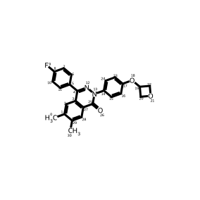 Cc1cc2c(-c3ccc(F)cc3)nn(-c3ccc(OC4COC4)cc3)c(=O)c2cc1C